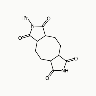 CC(C)N1C(=O)C2CCC3C(=O)NC(=O)C3CCC2C1=O